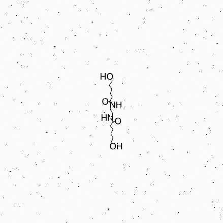 O=C(CCCCCO)NCCNC(=O)CCCCCO